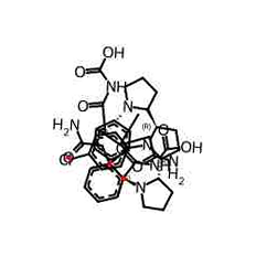 CC1(CC(N)=O)c2ccc(cc2)[C@]1(C(=O)NC(=O)O)N1CCCC1[C@H]1CC[C@H](C2CCCN2[C@@]2(C(=O)NC(=O)O)c3ccc(cc3)C2(C)CC(N)=O)N1c1ccc(Cl)cc1